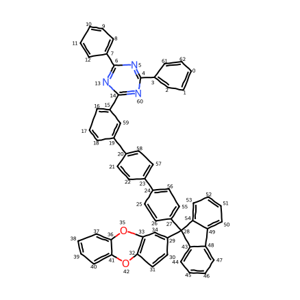 c1ccc(-c2nc(-c3ccccc3)nc(-c3cccc(-c4ccc(-c5ccc(C6(c7ccc8c(c7)Oc7ccccc7O8)c7ccccc7-c7ccccc76)cc5)cc4)c3)n2)cc1